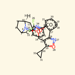 O=C(O)c1cccc(N2C3CC[C@H]2CC(OCc2c(-c4ccccc4OC(F)F)noc2C2CC2)C3)n1